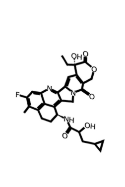 CC[C@@]1(O)C(=O)OCc2c1cc1n(c2=O)Cc2c-1nc1cc(F)c(C)c3c1c2[C@@H](NC(=O)C(O)CC1CC1)CC3